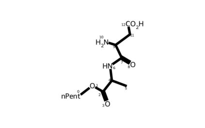 CCCCCOC(=O)C(C)NC(=O)C(N)CC(=O)O